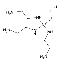 CC[N+](NCCN)(NCCN)NCCN.[Cl-]